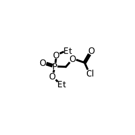 CCOP(=O)(COC(=O)Cl)OCC